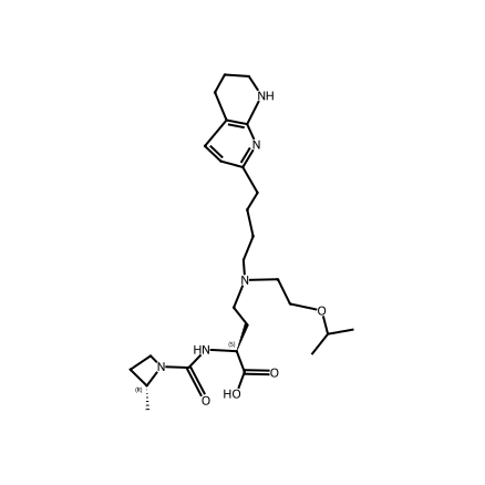 CC(C)OCCN(CCCCc1ccc2c(n1)NCCC2)CC[C@H](NC(=O)N1CC[C@H]1C)C(=O)O